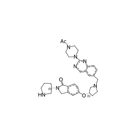 CC(=O)N1CCN(c2ncc3cc(CN4CC[C@H](Oc5ccc6c(c5)CN([C@H]5CCCNC5)C6=O)C4)ccc3n2)CC1